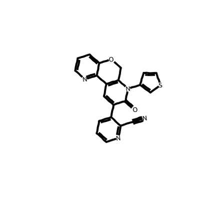 N#Cc1ncccc1-c1cc2c(n(-c3ccsc3)c1=O)COc1cccnc1-2